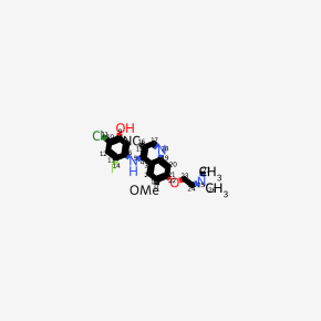 COc1cc2c(Nc3cc(O)c(Cl)cc3F)c(C#N)cnc2cc1OCCN(C)C